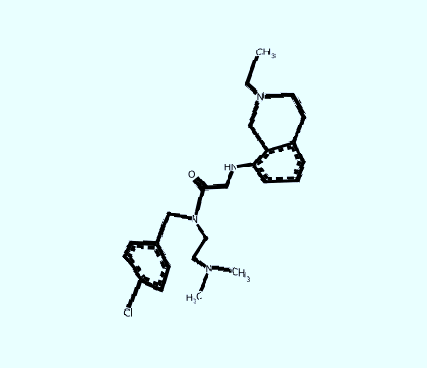 CCN1CCc2cccc(NCC(=O)N(CCN(C)C)Cc3ccc(Cl)cc3)c2C1